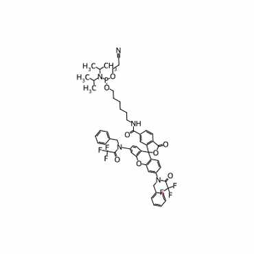 CC(C)N(C(C)C)P(OCCC#N)OCCCCCCNC(=O)c1ccc2c(c1)C1(OC2=O)c2ccc(N(Cc3ccccc3)C(=O)C(F)(F)F)cc2Oc2cc(N(Cc3ccccc3)C(=O)C(F)(F)F)ccc21